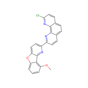 COc1cccc2oc3ccc(-c4ccc5ccc6ccc(Cl)nc6c5n4)nc3c12